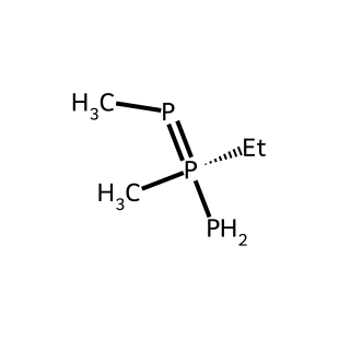 CC[P@@](C)(P)=PC